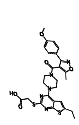 CCc1cc2c(N3CCN(C(=O)c4c(-c5ccc(OC)cc5)noc4C)CC3)nc(SCC(=O)O)nc2s1